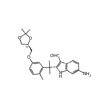 Cc1ccc(OC[C@H]2COC(C)(C)O2)cc1C(C)(C)c1[nH]c2cc(N)ccc2c1C=O